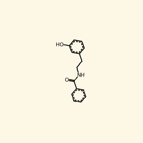 O=C(NCCc1cccc(O)c1)c1ccccc1